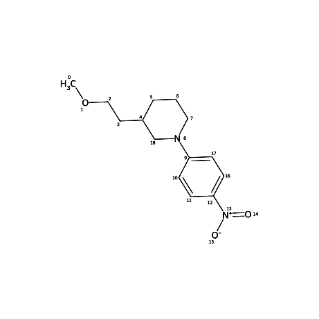 COCCC1CCCN(c2ccc([N+](=O)[O-])cc2)C1